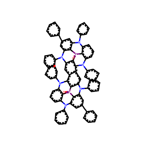 O=P12c3c4cc(-c5ccccc5)cc3N(c3ccccc3)c3cc5c6c7c(cc5c(c31)N(c1ccccc1)c1cccc(c12)N4c1ccccc1)N(c1ccccc1)c1cc(-c2ccccc2)cc2c1P7(=O)c1c(cccc1N6c1ccccc1)N2c1ccccc1